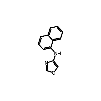 c1ccc2c(Nc3cocn3)cccc2c1